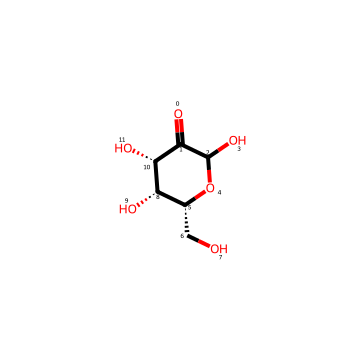 O=C1C(O)O[C@H](CO)[C@H](O)[C@@H]1O